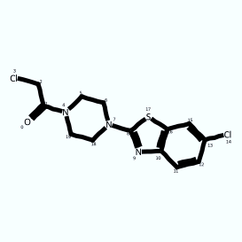 O=C(CCl)N1CCN(c2nc3ccc(Cl)cc3s2)CC1